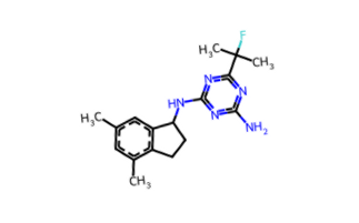 Cc1cc(C)c2c(c1)C(Nc1nc(N)nc(C(C)(C)F)n1)CC2